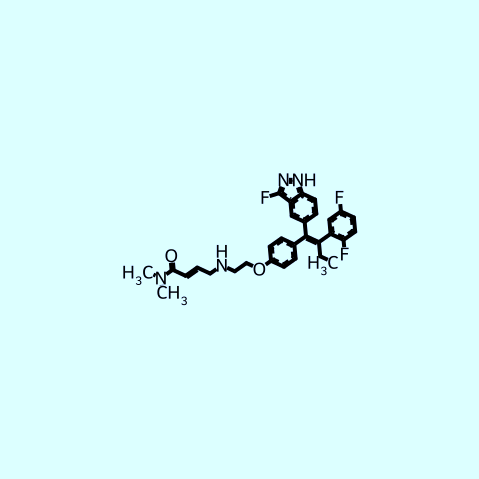 CCC(=C(c1ccc(OCCNCC=CC(=O)N(C)C)cc1)c1ccc2[nH]nc(F)c2c1)c1cc(F)ccc1F